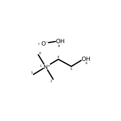 C[N+](C)(C)CCO.[O-]O